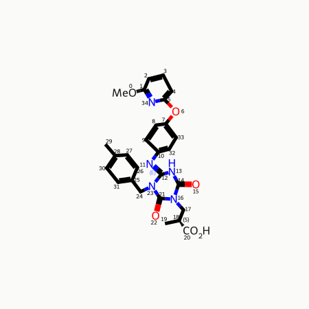 COc1cccc(Oc2ccc(/N=c3\[nH]c(=O)n(C[C@H](C)C(=O)O)c(=O)n3Cc3ccc(C)cc3)cc2)n1